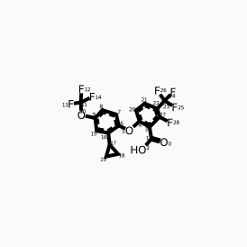 O=C(O)c1c(Oc2ccc(OC(F)(F)F)cc2C2CC2)ccc(C(F)(F)F)c1F